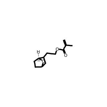 C=C(C)C(=O)OCCC1CC2CC[C@@H]1O2